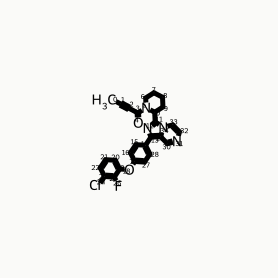 CC#CC(=O)N1CCCCC1c1nc(-c2ccc(Oc3cccc(Cl)c3F)cc2)c2cnccn12